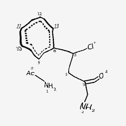 CC(N)=O.NC(=O)CC(Cl)c1ccccc1